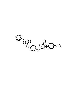 N#Cc1ccc(N2C[C@H](CN3CCC(OC(=O)OCc4ccccc4)CC3)OC2=O)cc1